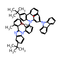 Cc1cccc(C)c1-c1nc2cc(C(C)(C)C)ccc2n1-c1cccc(N(c2cccc(-n3c4ccccc4c4ccccc43)c2)c2ccc(C(C)(C)C)cc2-c2ccccc2)c1Br